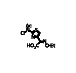 CCON=C(C(=O)O)c1csc(N(Cl)C(C)=O)n1